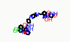 CN1c2c(CCN3CC4(CCN(C[C@H]5CC[C@H](NC(=O)[C@@H]6NC7(CCCCC7)[C@@]7(C(=O)Nc8cc(Cl)ccc87)[C@H]6c6cccc(Cl)c6F)CC5)CC4)C3)cccc2N(C2CCC(=O)NC2=O)C1O